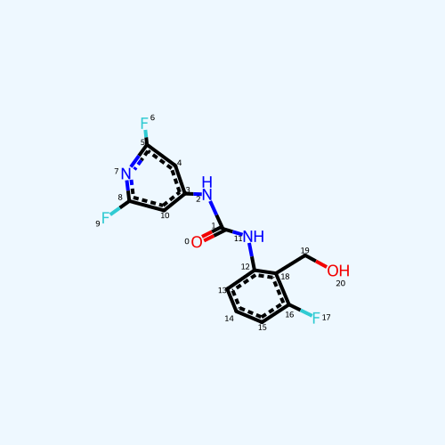 O=C(Nc1cc(F)nc(F)c1)Nc1cccc(F)c1CO